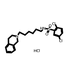 Cl.O=S(=O)(NCCCCCCN1CCc2ccccc2C1)c1cc(Cl)ccc1Cl